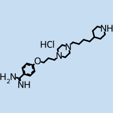 Cl.N=C(N)c1ccc(OCCCN2CCN(CCCCC3CCNCC3)CC2)cc1